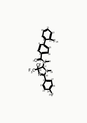 CN(C(=O)c1ccc(-c2ccccc2F)cc1)C1N(C)C(c2ccc(F)cc2)=NC1(C(F)(F)F)C(F)(F)F